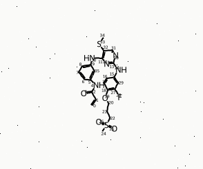 C=CC(=O)Nc1cccc(Nc2nc(Nc3ccc(OCCCS(C)(=O)=O)c(F)c3)ncc2SC)c1